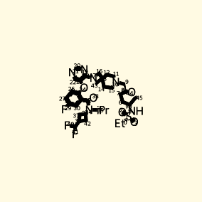 CCS(=O)(=O)N[C@@H]1CC[C@@H](CN2CCC3(CC2)CN(c2ncncc2Oc2ccc(F)cc2C(=O)N(C(C)C)C2CC(C(F)F)C2)C3)OC1